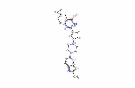 Cc1nc2ccc(N3CCN([C@H]4C=C(c5nc6c(c(=O)[nH]5)CC5(CC6)CC5)CC4)CC3)cc2s1